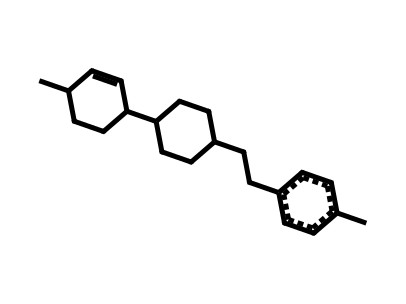 Cc1ccc(CCC2CCC(C3C=CC(C)CC3)CC2)cc1